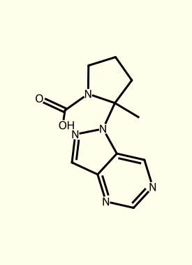 CC1(n2ncc3ncncc32)CCCN1C(=O)O